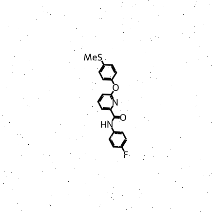 CSc1ccc(Oc2cccc(C(=O)Nc3ccc(F)cc3)n2)cc1